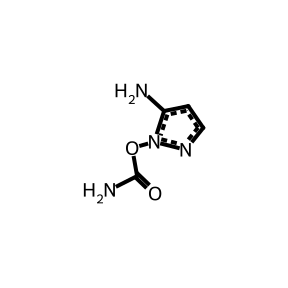 NC(=O)On1nccc1N